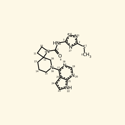 CSc1nsc(NC(=O)N2CCC23CCCN(c2ncnc4[nH]ccc24)C3)n1